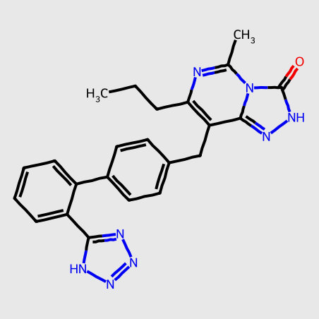 CCCc1nc(C)n2c(=O)[nH]nc2c1Cc1ccc(-c2ccccc2-c2nnn[nH]2)cc1